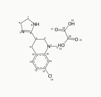 CN1CC(C2=NCCN2)Cc2ccc(Cl)cc21.O=C(O)C(=O)O